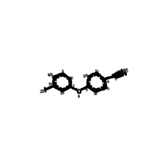 N#Cc1ccc(Oc2cccc(I)c2)cc1